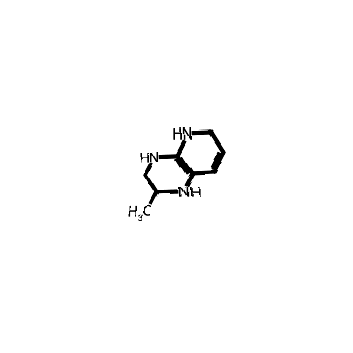 CC1CNC2=C(C=CCN2)N1